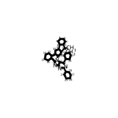 CC1(C)c2ccccc2-c2cc3c4ccccc4c4nc5nc(-c6ccccc6)nc(-c6ccccc6)c5n4c3cc21